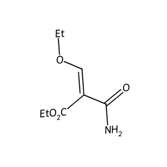 CCO/C=C(/C(N)=O)C(=O)OCC